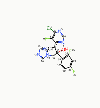 CC(c1ncnc(Cl)c1F)[C@](O)(Cn1cncn1)c1ccc(F)cc1F